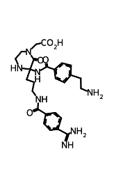 N=C(N)c1ccc(C(=O)NCCCC2(NC(=O)c3ccc(CCN)cc3)NCCN(CC(=O)O)C2=O)cc1